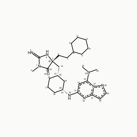 CN1C(=N)N[C@](CCC2CCCCC2)(C[C@H]2CCC[C@@H](Nc3cc(N(C)C)n4nccc4n3)C2)C1=O